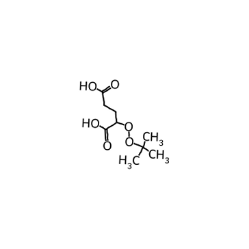 CC(C)(C)OOC(CCC(=O)O)C(=O)O